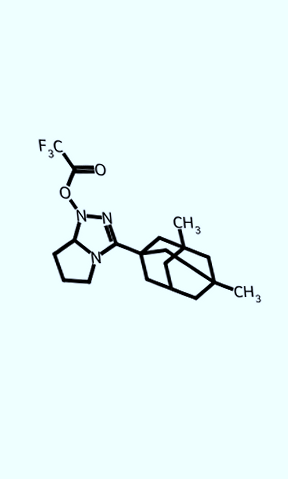 CC12CC3CC(C)(C1)CC(C1=NN(OC(=O)C(F)(F)F)C4CCCN14)(C3)C2